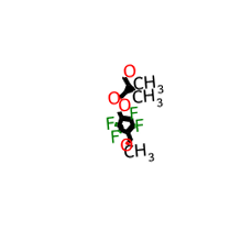 COCc1c(F)c(F)c(COC(=O)C2C(C=O)C2(C)C)c(F)c1F